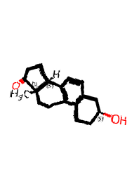 C[C@]12CCc3c(ccc4c3CC[C@H](O)C4)[C@@H]1CCC2=O